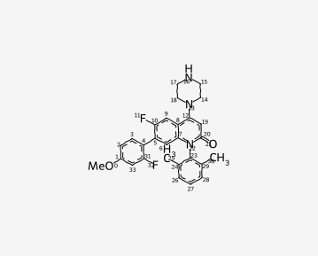 COc1ccc(-c2cc3c(cc2F)c(N2CCNCC2)cc(=O)n3-c2c(C)cccc2C)c(F)c1